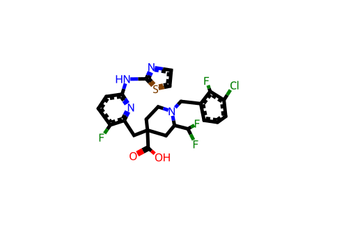 O=C(O)C1(Cc2nc(Nc3nccs3)ccc2F)CCN(Cc2cccc(Cl)c2F)C(C(F)F)C1